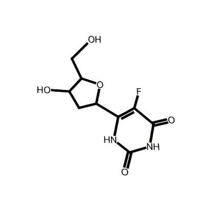 O=c1[nH]c(C2CC(O)C(CO)O2)c(F)c(=O)[nH]1